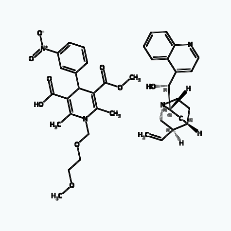 C=C[C@H]1C[N@]2CC[C@H]1C[C@H]2[C@H](O)c1ccnc2ccccc12.COCCOCN1C(C)=C(C(=O)O)C(c2cccc([N+](=O)[O-])c2)C(C(=O)OC)=C1C